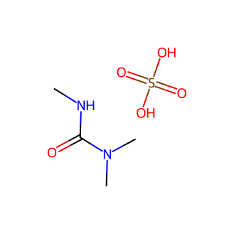 CNC(=O)N(C)C.O=S(=O)(O)O